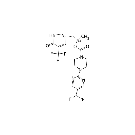 C[C@@H](Cc1c[nH]c(=O)c(C(F)(F)F)c1)OC(=O)N1CCN(c2ncc(C(F)F)cn2)CC1